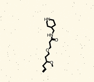 C=CCC(CCOCCC(=O)NCC1CCNCC1)OC